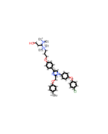 CCN(CC)C(CCO)[N+](CC)(CC)CCCOc1ccc(-c2cn(-c3ccc(Oc4ccc(Cl)cc4)cc3)c(COc3ccc(C(C)(C)C)cc3)n2)cc1